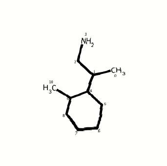 CC(CN)C1CCCCC1C